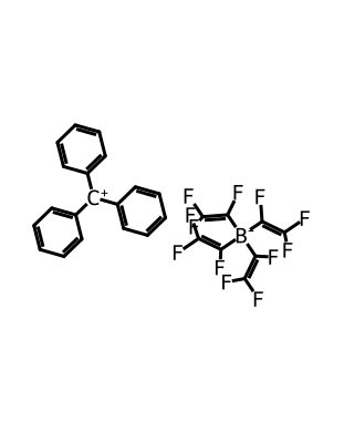 FC(F)=C(F)[B-](C(F)=C(F)F)(C(F)=C(F)F)C(F)=C(F)F.c1ccc([C+](c2ccccc2)c2ccccc2)cc1